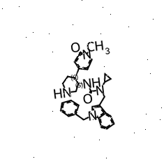 Cn1ccc([C@@H]2CCNC[C@H]2NC(=O)N(Cc2cn(Cc3ccccc3)c3ccccc23)C2CC2)cc1=O